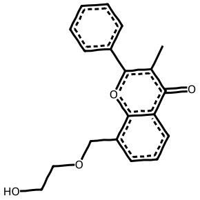 Cc1c(-c2ccccc2)oc2c(COCCO)cccc2c1=O